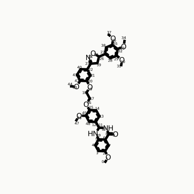 COc1ccc2c(c1)C(=O)NC(c1ccc(OCCOc3cc(C4=NOC(c5cc(OC)c(OC)c(OC)c5)C4)ccc3OC)c(OC)c1)N2